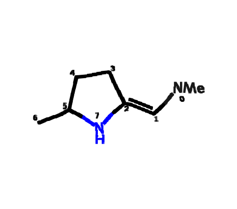 CN/C=C1\CCC(C)N1